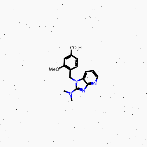 COc1cc(C(=O)O)ccc1Cn1c(N(C)C)nc2ncccc21